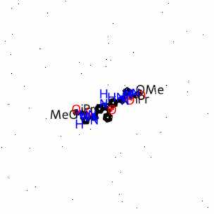 COC(=O)N[C@H](C(=O)N1CCC[C@H]1c1ncc(-c2ccc3c(c2)OC(c2ccccc2)c2c-3[nH]c3ccc(-c4cnc([C@@H]5CCCN5C(=O)[C@@H](NC(=O)OC)C(C)C)[nH]4)cc23)[nH]1)C(C)C